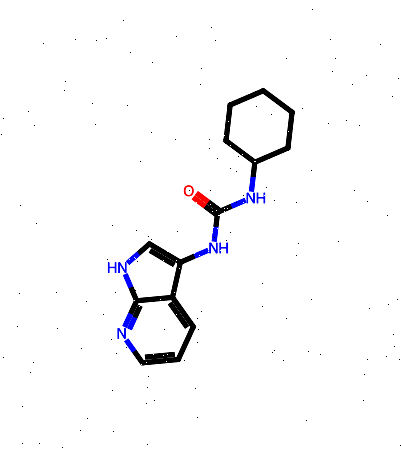 O=C(Nc1c[nH]c2ncccc12)NC1CCCCC1